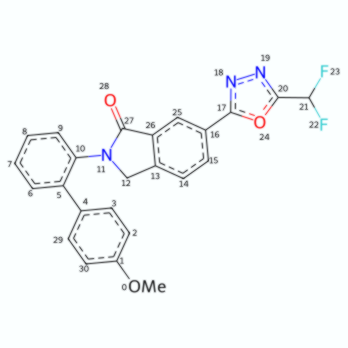 COc1ccc(-c2ccccc2N2Cc3ccc(-c4nnc(C(F)F)o4)cc3C2=O)cc1